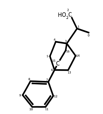 CC(C(=O)O)C12CCC(c3ccccc3)(CC1)CC2